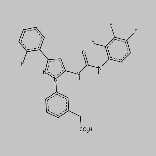 O=C(O)Cc1cccc(-n2nc(-c3ccccc3F)cc2NC(=O)Nc2ccc(F)c(F)c2F)c1